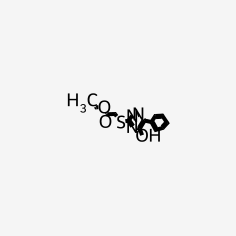 CCOC(=O)CSc1nnc(-c2ccccc2)c(O)n1